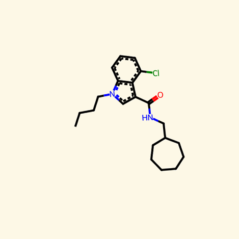 CCCCn1cc(C(=O)NCC2CCCCCC2)c2c(Cl)cccc21